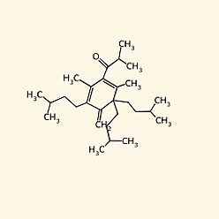 C=C1C(CCC(C)C)=C(C)C(C(=O)C(C)C)=C(C)C1(CCC(C)C)CCC(C)C